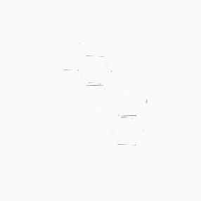 Nc1cc(Cl)ccc1S(=O)(=O)c1ccc(Cl)c(S(=O)(=O)O)c1